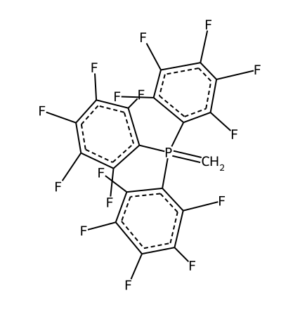 C=P(c1c(F)c(F)c(F)c(F)c1F)(c1c(F)c(F)c(F)c(F)c1F)c1c(F)c(F)c(F)c(F)c1F